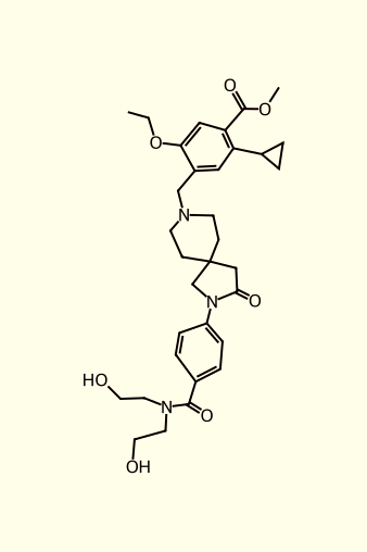 CCOc1cc(C(=O)OC)c(C2CC2)cc1CN1CCC2(CC1)CC(=O)N(c1ccc(C(=O)N(CCO)CCO)cc1)C2